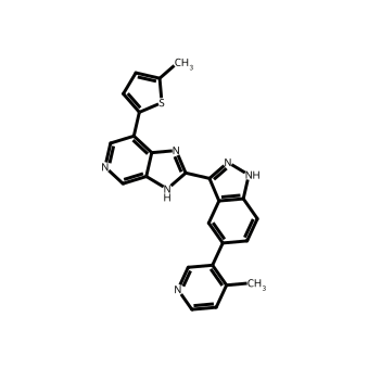 Cc1ccc(-c2cncc3[nH]c(-c4n[nH]c5ccc(-c6cnccc6C)cc45)nc23)s1